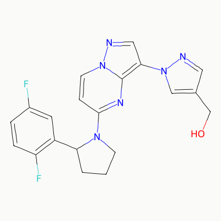 OCc1cnn(-c2cnn3ccc(N4CCCC4c4cc(F)ccc4F)nc23)c1